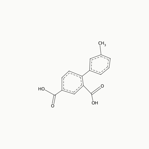 Cc1cccc(-c2ccc(C(=O)O)cc2C(=O)O)c1